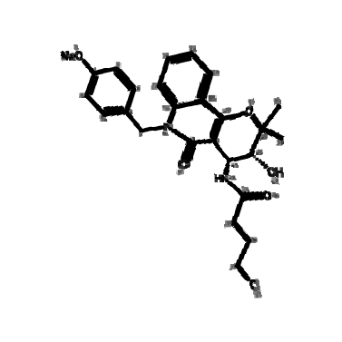 COc1ccc(Cn2c(=O)c3c(c4ccccc42)OC(C)(C)[C@H](O)[C@H]3NC(=O)CCCCl)cc1